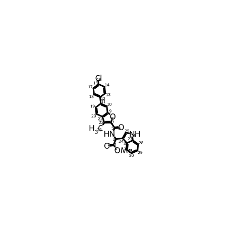 COC(=O)C(NC(=O)c1oc2cc(-c3ccc(Cl)cc3)ccc2c1C)c1c[nH]c2ccccc12